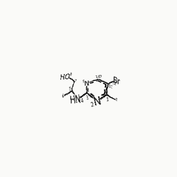 Cc1nc(NC(C)CO)ncc1Br